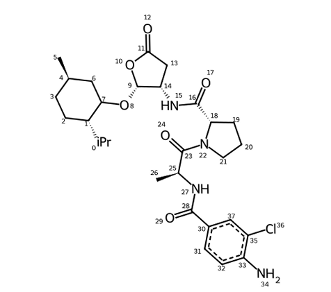 CC(C)[C@@H]1CC[C@@H](C)CC1O[C@@H]1OC(=O)C[C@@H]1NC(=O)[C@@H]1CCCN1C(=O)[C@H](C)NC(=O)c1ccc(N)c(Cl)c1